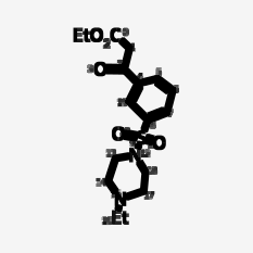 CCOC(=O)CC(=O)c1cccc(S(=O)(=O)N2CCN(CC)CC2)c1